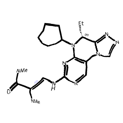 CC[C@@H]1c2nncn2-c2cnc(N/C=C(\NC)C(=O)NC)nc2N1C1CCCC1